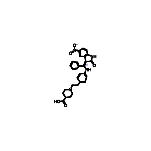 O=C1Nc2ccc([N+](=O)[O-])cc2/C1=C(/Nc1ccc(CCN2CCC(C(=O)O)CC2)cc1)c1ccccc1